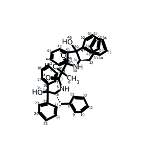 CC(C)(C(=O)N[C@H](Cc1ccccc1)C(O)(c1ccccc1)c1ccccc1)C(=O)N[C@H](Cc1ccccc1)C(O)(c1ccccc1)c1ccccc1